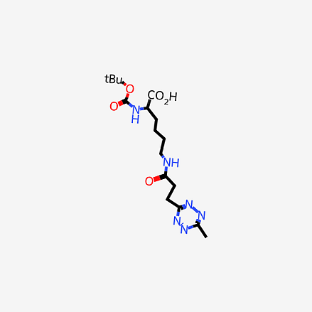 Cc1nnc(CCC(=O)NCCCCC(NC(=O)OC(C)(C)C)C(=O)O)nn1